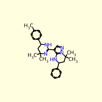 Cc1ccc(C2CC(C)(C)N=C(c3cnn4c3NC(c3ccccc3)CC4(C)C)N2)cc1